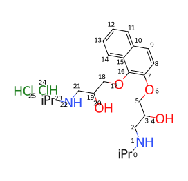 CC(C)NCC(O)COc1ccc2ccccc2c1OCC(O)CNC(C)C.Cl.Cl